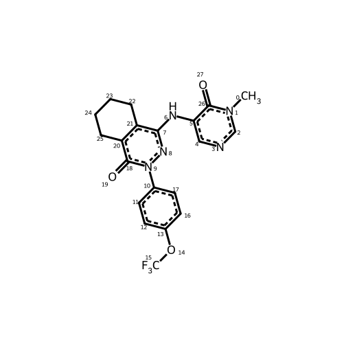 Cn1cncc(Nc2nn(-c3ccc(OC(F)(F)F)cc3)c(=O)c3c2CCCC3)c1=O